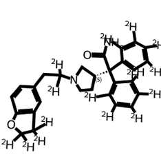 [2H]c1c([2H])c([2H])c(C(C(N)=O)(c2c([2H])c([2H])c([2H])c([2H])c2[2H])[C@@H]2CCN(C([2H])([2H])Cc3ccc4c(c3)C([2H])([2H])C([2H])([2H])O4)C2)c([2H])c1[2H]